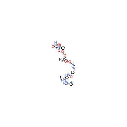 Cc1cc(NC(=O)c2ccc(CN3CCN(CCOCCC(C)(O)CCOCCOc4cccc5c4C(=O)N(C46CC4C(=O)NC6=O)C5=O)CC3)cc2)ccc1Nc1nccc(-c2cccnc2)n1